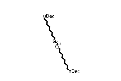 CCCCCCCCCCCCCCCCCC[O][Sn][O]CCCCCCCCCCCCCCCCCC